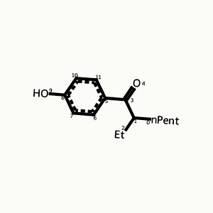 CCCCCC(CC)C(=O)c1ccc(O)cc1